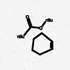 C1=CCCCC1.CCCCOC(=O)CCCC